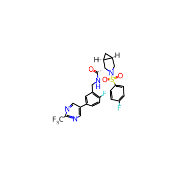 O=C(NCc1cc(-c2cnc(C(F)(F)F)nc2)ccc1F)[C@@H]1[C@H]2C[C@H]2CN1S(=O)(=O)c1ccc(F)cc1